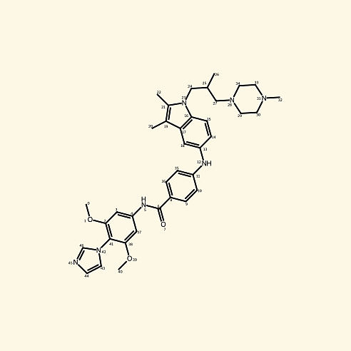 COc1cc(NC(=O)c2ccc(Nc3ccc4c(c3)c(C)c(C)n4CC(C)CN3CCN(C)CC3)cc2)cc(OC)c1-n1ccnc1